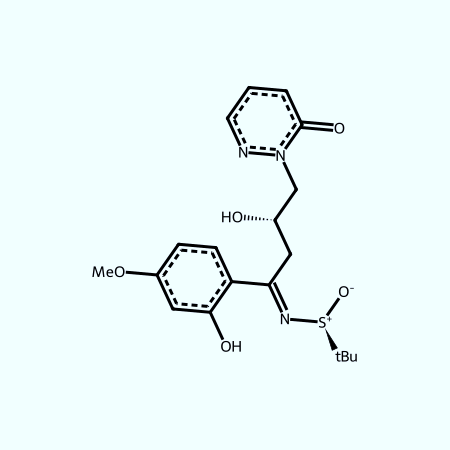 COc1ccc(/C(C[C@H](O)Cn2ncccc2=O)=N/[S@@+]([O-])C(C)(C)C)c(O)c1